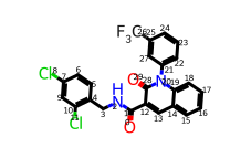 O=C(NCc1ccc(Cl)cc1Cl)c1cc2ccccc2n(-c2cccc(C(F)(F)F)c2)c1=O